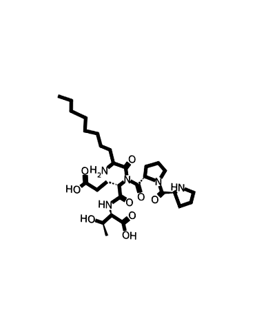 CCCCCCCCC(N)C(=O)N(C(=O)[C@@H]1CCCN1C(=O)[C@@H]1CCCN1)[C@@H](CCC(=O)O)C(=O)N[C@H](C(=O)O)[C@@H](C)O